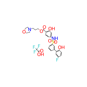 O=C(O)C(F)(F)F.O=C(OCCCN1CCOCC1)c1ccc(NS(=O)(=O)c2cccc(-c3cc(F)ccc3O)c2)cc1O